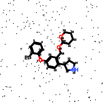 CCc1ccccc1Oc1ccc(C2CCNC2)c(COC2CCCCO2)c1